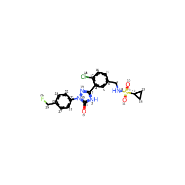 O=c1[nH]c(-c2cc(CNS(=O)(=O)C3CC3)ccc2Cl)nn1-c1ccc(CF)cc1